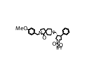 COc1ccc(CN2CCC3(CCN(C[C@H]4CN(S(=O)(=O)C(C)C)CC4c4ccccc4)CC3)C2=O)cc1